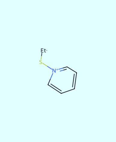 C[CH]S[n+]1ccccc1